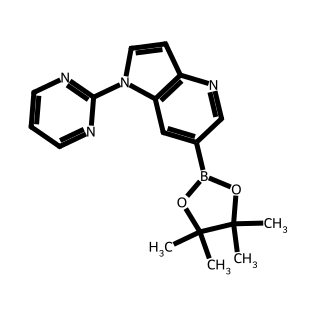 CC1(C)OB(c2cnc3ccn(-c4ncccn4)c3c2)OC1(C)C